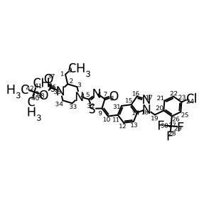 CCC1CN(C2=NC(=O)C(=Cc3ccc4c(cnn4Cc4ccc(Cl)cc4C(F)(F)F)c3)S2)CCN1C(=O)OC(C)(C)C